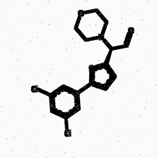 O=C[C@@H](c1ccc(-c2cc(Cl)cc(Cl)c2)s1)N1CCOCC1